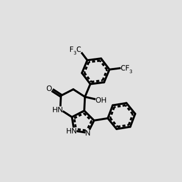 O=C1CC(O)(c2cc(C(F)(F)F)cc(C(F)(F)F)c2)c2c(-c3ccccc3)n[nH]c2N1